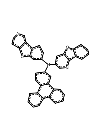 c1ccc2c(c1)oc1cc(N(c3ccc4c(c3)oc3ccncc34)c3ccc4c5ccccc5c5ccccc5c4c3)cnc12